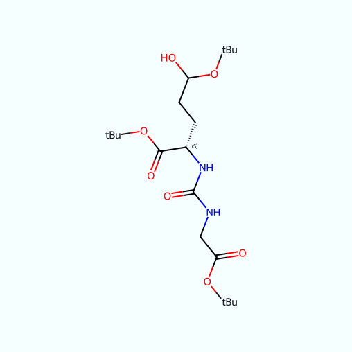 CC(C)(C)OC(=O)CNC(=O)N[C@@H](CCC(O)OC(C)(C)C)C(=O)OC(C)(C)C